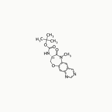 CN1C(=O)[C@@H](NC(=O)OC(C)(C)C)COc2cc3ncncc3cc21